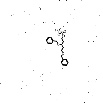 CS(=O)(=O)OCCC(CCOCc1ccccc1)OCc1ccccc1